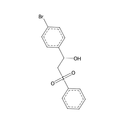 O=S(=O)(C[C@@H](O)c1ccc(Br)cc1)c1ccccc1